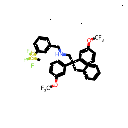 C[SH](F)(F)(F)c1cccc(CNCC(Cc2ccccc2)(c2cccc(OC(F)(F)F)c2)c2cccc(OC(F)(F)F)c2)c1